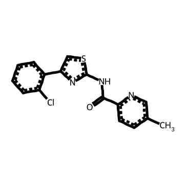 Cc1ccc(C(=O)Nc2nc(-c3ccccc3Cl)cs2)nc1